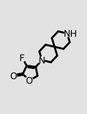 O=C1OCC(N2CCC3(CCNCC3)CC2)=C1F